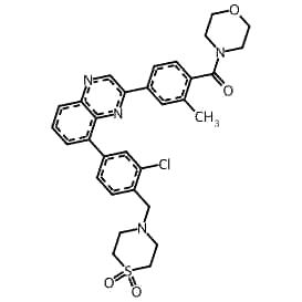 Cc1cc(-c2cnc3cccc(-c4ccc(CN5CCS(=O)(=O)CC5)c(Cl)c4)c3n2)ccc1C(=O)N1CCOCC1